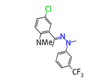 CNc1ccc(Cl)cc1/C(C)=N/N(C)c1cccc(C(F)(F)F)c1